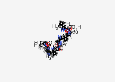 CCC(C)[C@@H](C(=O)N[C@@H](CC(=O)O)c1cncc(-c2c(C)cccc2C)c1)n1ccc(-c2ccc(C)c(-c3cncc([C@H](CC(=O)O)NC(=O)[C@H](CC(C)C)N4CC(C)(C)C(c5ccc(C)c(-c6cncc([C@H](CC(=O)O)NC(=O)[C@@H](CC(C)C)N7CC(C)(C)CCC7=O)c6)c5C)CC4=O)c3)c2C)cc1=O